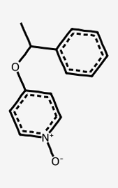 CC(Oc1cc[n+]([O-])cc1)c1ccccc1